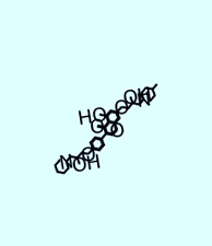 CC1CCN(CC(O)COc2cc(O)c3c(=O)c(-c4ccc(OCC(O)CN5CCCCC5)cc4)coc3c2)CC1